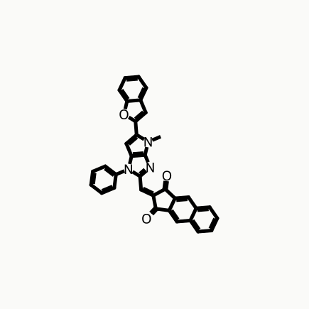 Cn1c(-c2cc3ccccc3o2)cc2c1nc(C=C1C(=O)c3cc4ccccc4cc3C1=O)n2-c1ccccc1